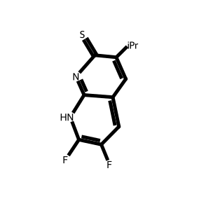 CC(C)c1cc2cc(F)c(F)[nH]c-2nc1=S